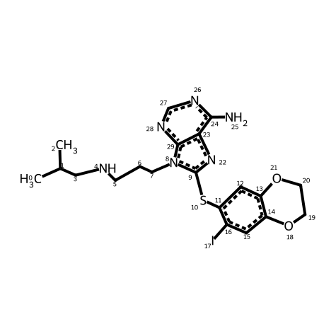 CC(C)CNCCCn1c(Sc2cc3c(cc2I)OCCO3)nc2c(N)ncnc21